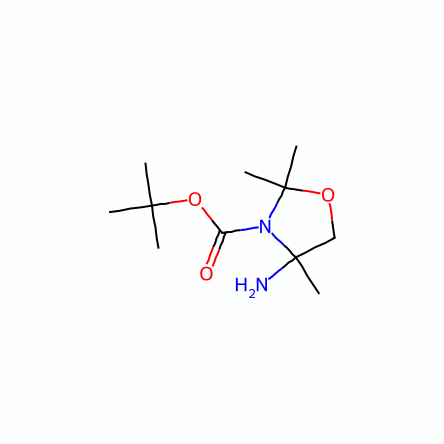 CC(C)(C)OC(=O)N1C(C)(N)COC1(C)C